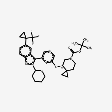 CC(C)(C)OC(=O)N1CCC2(CC2)[C@@H](Oc2cncc(-c3c4cc(C5(C(F)(F)F)CC5)ccc4nn3C3CCCCO3)n2)C1